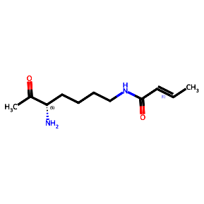 C/C=C/C(=O)NCCCC[C@H](N)C(C)=O